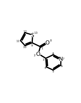 O=C(Oc1cccnc1)c1cccs1